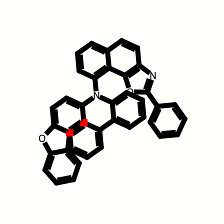 c1ccc(-c2nc3ccc4cccc(N(c5ccc6oc7ccccc7c6c5)c5ccccc5-c5ccccc5)c4c3o2)cc1